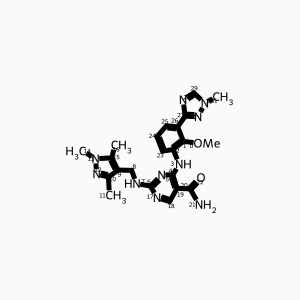 COc1c(Nc2nc(NCc3c(C)nn(C)c3C)ncc2C(N)=O)cccc1-c1ncn(C)n1